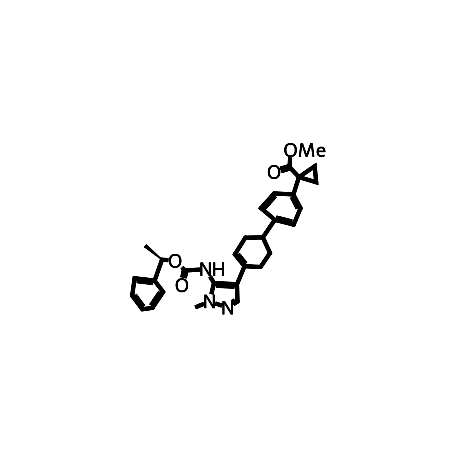 COC(=O)C1(c2ccc(C3CC=C(c4cnn(C)c4NC(=O)O[C@H](C)c4ccccc4)CC3)cc2)CC1